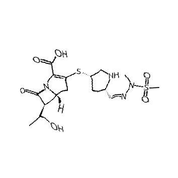 CC(O)[C@H]1C(=O)N2C(C(=O)O)=C(S[C@@H]3CN[C@H](/C=N\N(C)S(C)(=O)=O)C3)C[C@H]12